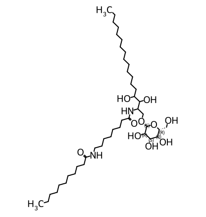 CCCCCCCCCCCCCCC(O)C(O)C(CO[C@H]1O[C@H](CO)[C@H](O)[C@H](O)[C@H]1O)NC(=O)CCCCCCCNC(=O)CCCCCCCCCC